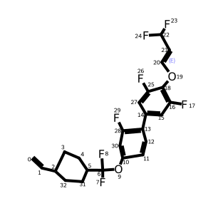 C=CC1CCC(C(F)(F)Oc2ccc(-c3cc(F)c(O/C=C/C(F)F)c(F)c3)c(F)c2)CC1